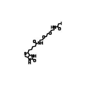 O=C(CI)NCCOCCOCCNC(=O)CCCCC1SCC2NC(=O)NC21